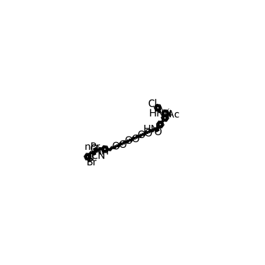 CCC[C@@H](NC(=O)/C(C#N)=C/c1cccc(Br)n1)c1ccc(CCCOCCOCCOCCOCCOCCOCCNC(=O)c2ccc(-c3ccc4c(c3)[C@H](Nc3ccc(Cl)cc3)C[C@H](C)N4C(C)=O)cc2)cc1